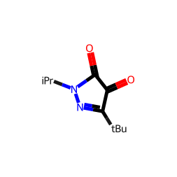 CC(C)N1N=C(C(C)(C)C)C(=O)C1=O